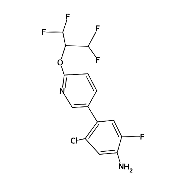 Nc1cc(Cl)c(-c2ccc(OC(C(F)F)C(F)F)nc2)cc1F